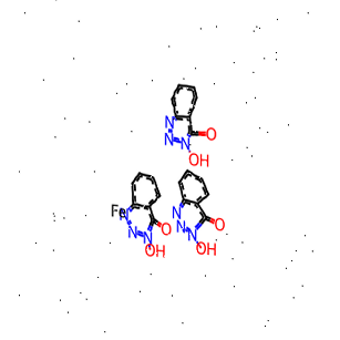 O=c1c2ccccc2nnn1O.O=c1c2ccccc2nnn1O.O=c1c2ccccc2nnn1O.[Fe]